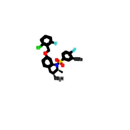 COc1cc(S(=O)(=O)N2c3cc(OCc4c(F)cccc4Cl)ccc3C[C@@H](C(=O)O)[C@H]2C)ccc1F